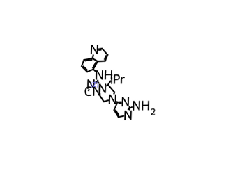 CC(C)C1CN(c2ccnc(N)n2)CCN1/C(=N\C#N)Nc1cccc2ncccc12